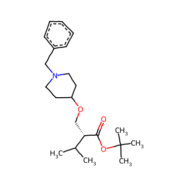 CC(C)[C@H](COC1CCN(Cc2ccccc2)CC1)C(=O)OC(C)(C)C